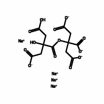 O=C([O-])CC(O)(CC(=O)O)C(=O)OC(CC(=O)[O-])(CC(=O)[O-])C(=O)[O-].[Na+].[Na+].[Na+].[Na+]